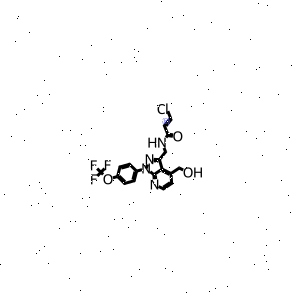 O=C(/C=C/Cl)NCc1nn(-c2ccc(OC(F)(F)F)cc2)c2nccc(CO)c12